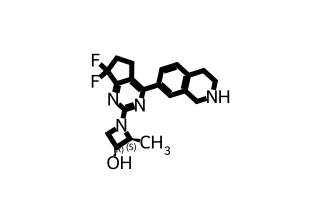 C[C@H]1[C@H](O)CN1c1nc(-c2ccc3c(c2)CNCC3)c2c(n1)C(F)(F)CC2